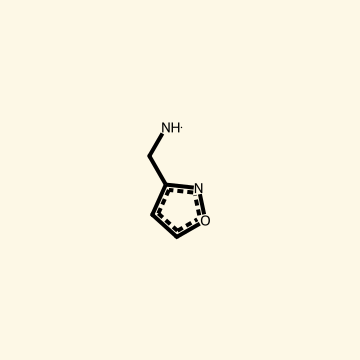 [NH]Cc1ccon1